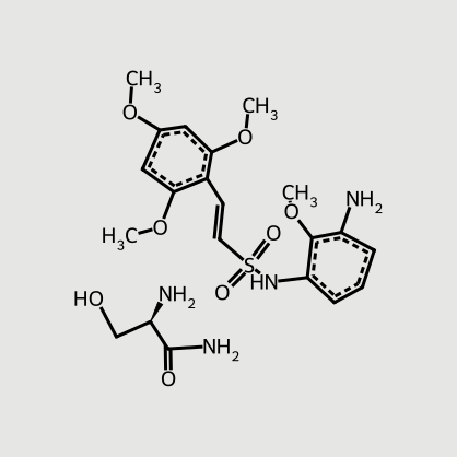 COc1cc(OC)c(C=CS(=O)(=O)Nc2cccc(N)c2OC)c(OC)c1.NC(=O)[C@H](N)CO